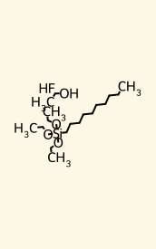 CCCCCCCCCC[Si](OCC)(OCC)OCC.CCO.F